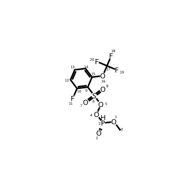 CO[PH](=O)OOS(=O)(=O)c1c(F)cccc1OC(F)(F)F